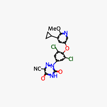 COc1ncc(Oc2c(Cl)cc(-n3nc(C#N)c(=O)[nH]c3=O)cc2Cl)cc1C1CC1